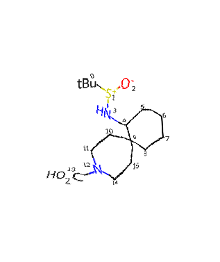 CC(C)(C)[S+]([O-])NC1CCCCC12CCN(C(=O)O)CC2